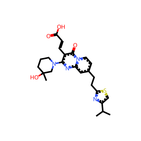 CC(C)c1csc(CCc2ccn3c(=O)c(C=CC(=O)O)c(N4CCCC(C)(O)C4)nc3c2)n1